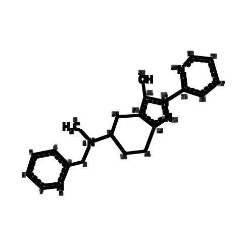 CN(Cc1ccccn1)C1CCc2nn(-c3ccccn3)c(O)c2C1